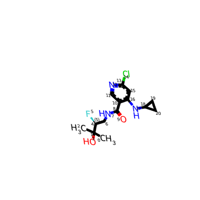 CC(C)(O)[C@@H](F)CNC(=O)c1cnc(Cl)cc1NC1CC1